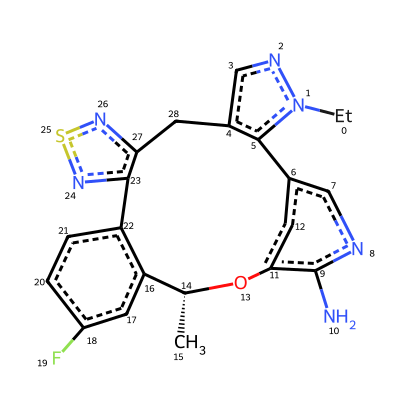 CCn1ncc2c1-c1cnc(N)c(c1)O[C@H](C)c1cc(F)ccc1-c1nsnc1C2